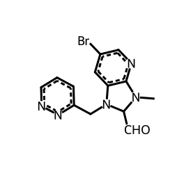 CN1c2ncc(Br)cc2N(Cc2cccnn2)C1C=O